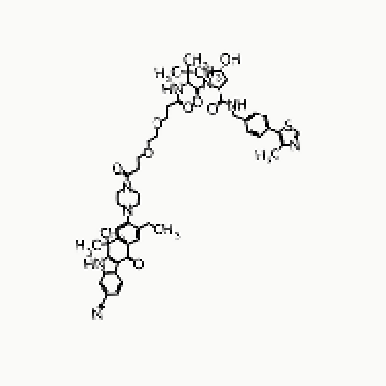 CCc1cc2c(cc1N1CCN(C(=O)CCOCCOCCC(=O)N[C@H](C(=O)N3C[C@H](O)C[C@H]3C(=O)NCc3ccc(-c4scnc4C)cc3)C(C)(C)C)CC1)C(C)(C)c1[nH]c3cc(C#N)ccc3c1C2=O